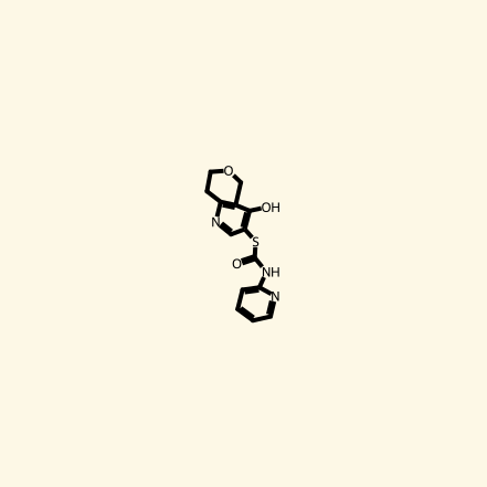 O=C(Nc1ccccn1)Sc1cnc2c(c1O)COCC2